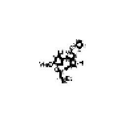 C#Cc1c[nH]c2nc(OC3CCCC3)nc(-c3cc(OCCN(CC)CC)c(OC)cc3Cl)c12